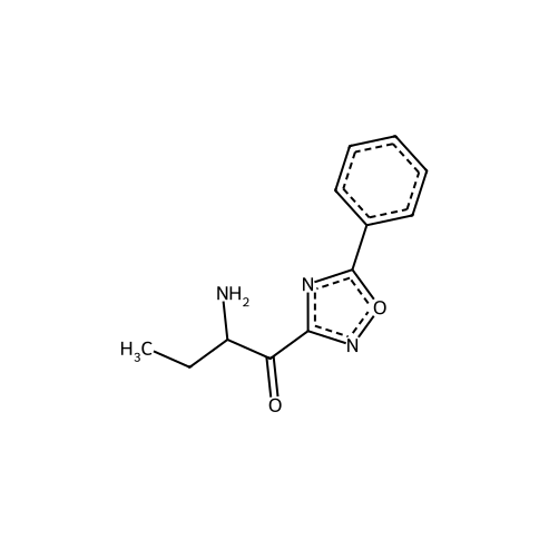 CCC(N)C(=O)c1noc(-c2ccccc2)n1